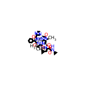 CCN1C(=O)CN(C)C12C[C@@H](C(=O)NC(CC1CC1)C(=O)C(=O)NC1CC1)N(C(=O)C(NC(=O)C(NC(=O)c1cnccn1)C1CCCCC1)C(C)(C)C)C2